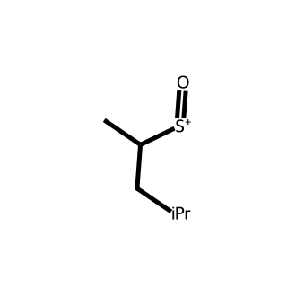 CC(C)CC(C)[S+]=O